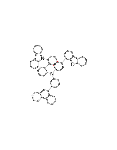 c1cc(-c2cc3ccccc3c3ccccc23)cc(N(c2ccc(-c3cccc4c3oc3ccccc34)cc2)c2ccccc2-c2ccccc2-n2c3ccccc3c3ccccc32)c1